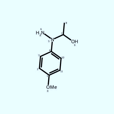 COc1ccc(N(N)C(C)O)cc1